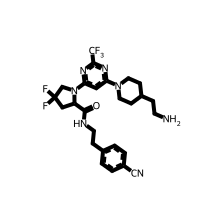 N#Cc1ccc(CCNC(=O)C2CC(F)(F)CN2c2cc(N3CCC(CCN)CC3)nc(C(F)(F)F)n2)cc1